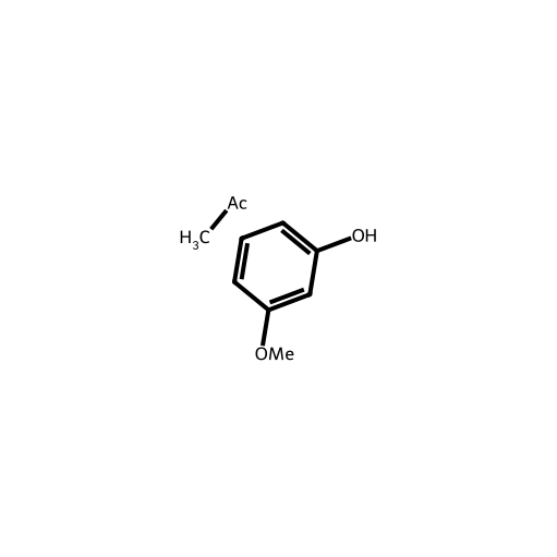 CC(C)=O.COc1cccc(O)c1